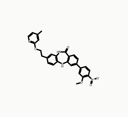 COc1cc(-c2ccc3c(c2)Nc2ccc(CCOc4cc(C)ccn4)cc2NC3=O)ccc1[N+](=O)[O-]